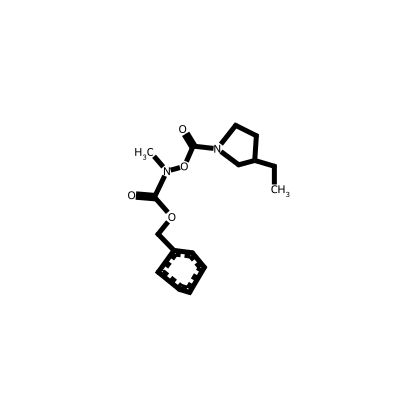 CCC1CCN(C(=O)ON(C)C(=O)OCc2ccccc2)C1